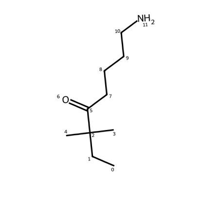 CCC(C)(C)C(=O)CCCCN